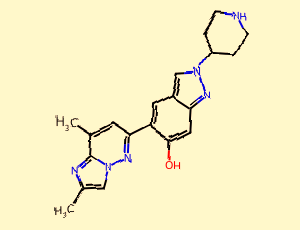 Cc1cn2nc(-c3cc4cn(C5CCNCC5)nc4cc3O)cc(C)c2n1